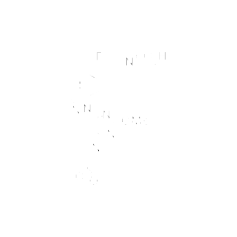 COc1nc(N2CCS(=O)(=O)CC2)cc(-n2ncc3cc(C)c(C4CCN(C(=O)O)CC4F)cc32)n1